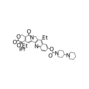 CCc1c2c(nc3ccc(OC(=O)N4CCC(N5CCCCC5)CC4)cc13)-c1cc3c(c(=O)n1C2)COC(=O)[C@@]3(CC)OC(C)C